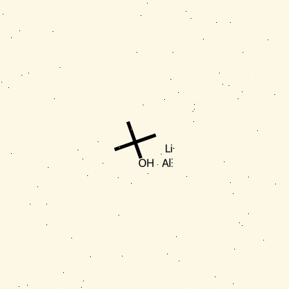 CC(C)(C)O.[Al].[Li]